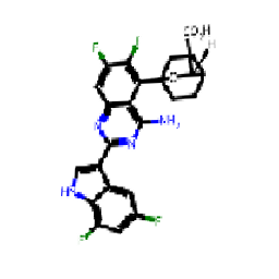 Nc1nc(-c2c[nH]c3c(F)cc(F)cc23)nc2cc(F)c(F)c(C34CCC(CC3)[C@@H](C(=O)O)C4)c12